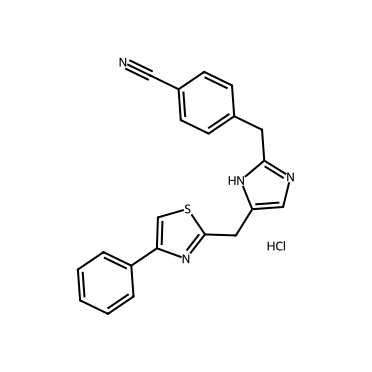 Cl.N#Cc1ccc(Cc2ncc(Cc3nc(-c4ccccc4)cs3)[nH]2)cc1